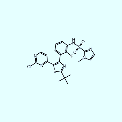 Cn1ccnc1S(=O)(=O)Nc1cccc(-c2nc(C(C)(C)C)sc2-c2ccnc(Cl)n2)c1F